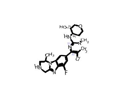 C=N/C(=N\C(=C(/C)Cl)c1cc(F)c2nc3n(c2c1)C(C)CNC3)N[C@@H]1CCOC[C@H]1O